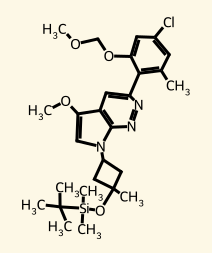 COCOc1cc(Cl)cc(C)c1-c1cc2c(OC)cn(C3CC(C)(O[Si](C)(C)C(C)(C)C)C3)c2nn1